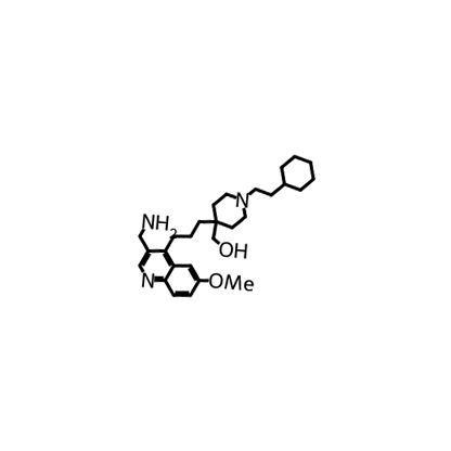 COc1ccc2ncc(CN)c(CCCC3(CO)CCN(CCC4CCCCC4)CC3)c2c1